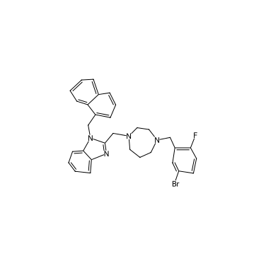 Fc1ccc(Br)cc1CN1CCCN(Cc2nc3ccccc3n2Cc2cccc3ccccc23)CC1